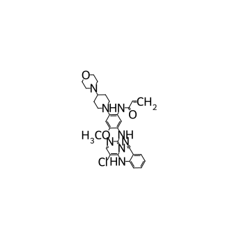 C=CC(=O)Nc1cc(Nc2ncc(Cl)c(Nc3ccccc3C#N)n2)c(OC)cc1N1CCC(N2CCOCC2)CC1